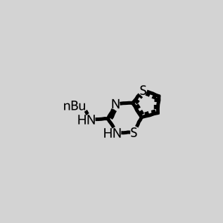 CCCCNC1=Nc2sccc2SN1